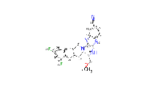 COCCNc1nc2ccc(C#N)cc2nc1N1CCC(Cc2ccc(F)cc2F)CC1